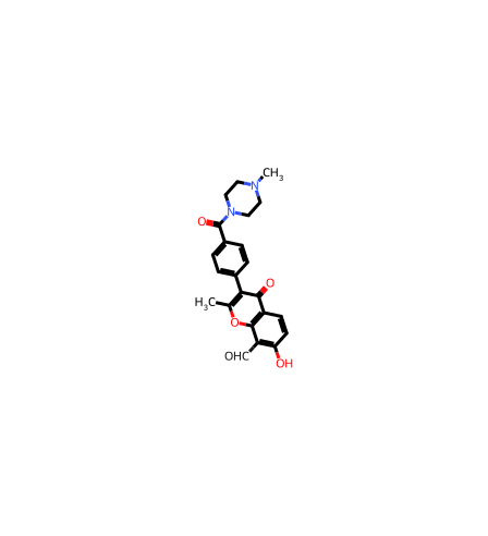 Cc1oc2c(C=O)c(O)ccc2c(=O)c1-c1ccc(C(=O)N2CCN(C)CC2)cc1